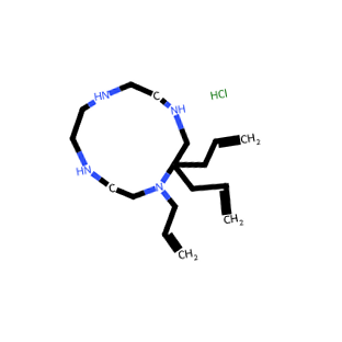 C=CCN1CCNCCNCCNCC1(CC=C)CC=C.Cl